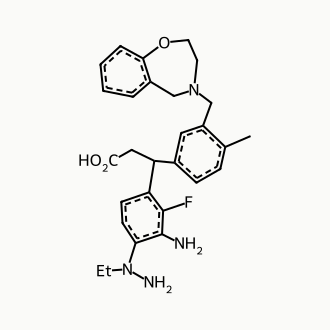 CCN(N)c1ccc(C(CC(=O)O)c2ccc(C)c(CN3CCOc4ccccc4C3)c2)c(F)c1N